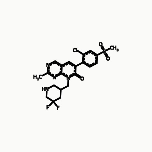 Cc1ncc2cc(-c3ccc(S(C)(=O)=O)cc3Cl)c(=O)n(CC3CNCC(F)(F)C3)c2n1